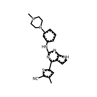 Cc1cc(-c2nc(Nc3cccc(N4CCN(C)CC4)c3)nc3[nH]ccc23)sc1C#N